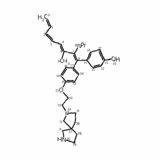 C=C\C=C/C=C(C)/C(CCC)=C(/c1ccc(O)cc1)c1ccc(OCCN2CCC3(CCNC3)C2)cc1